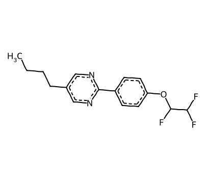 CCCCc1cnc(-c2ccc(OC(F)C(F)F)cc2)nc1